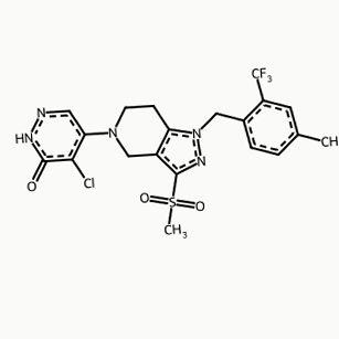 Cc1ccc(Cn2nc(S(C)(=O)=O)c3c2CCN(c2cn[nH]c(=O)c2Cl)C3)c(C(F)(F)F)c1